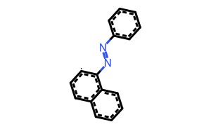 [c]1ccc2ccccc2c1N=Nc1ccccc1